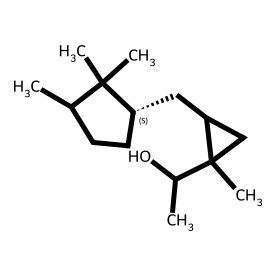 CC(O)C1(C)CC1C[C@@H]1CCC(C)C1(C)C